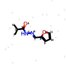 CC(C)C(=O)NN=Cc1ccco1